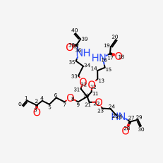 C=CC(=O)CCCCOCC(COCCCNC(=O)C=C)(COCCCNC(=O)C=C)COCCCNC(=O)C=C